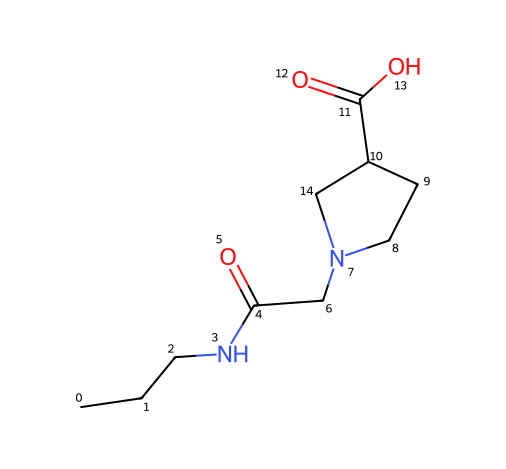 CCCNC(=O)CN1CCC(C(=O)O)C1